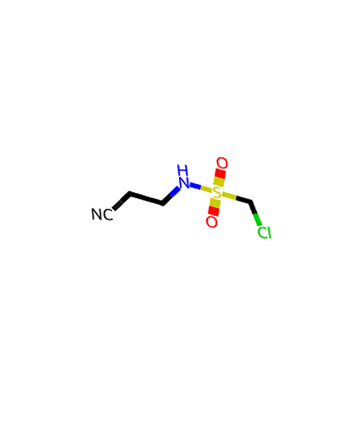 N#CCCNS(=O)(=O)CCl